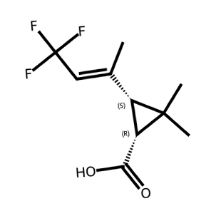 CC(=CC(F)(F)F)[C@H]1[C@@H](C(=O)O)C1(C)C